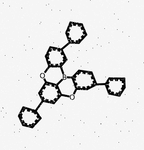 c1ccc(-c2ccc3c(c2)Oc2cc(-c4ccccc4)cc4c2B3c2cc(-c3ccccc3)ccc2O4)cc1